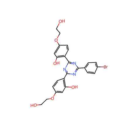 OCCOc1ccc(-c2nc(-c3ccc(Br)cc3)nc(-c3ccc(OCCO)cc3O)n2)c(O)c1